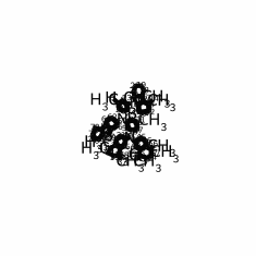 Cc1cc2c3c(c1)N1c4c(c(C)cc(C)c4C4(C)CCCCC14C)B3c1ccc(N(c3ccc4c(c3)C(C)(C)CCC4(C)C)c3ccc4c(c3)C(C)(C)CCC4(C)C)cc1N2c1ccc2c(c1)sc1ccccc12